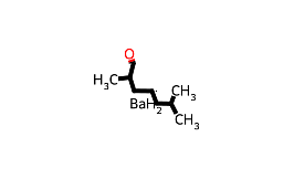 CC(C)C[CH]CC(C)C=O.[BaH2]